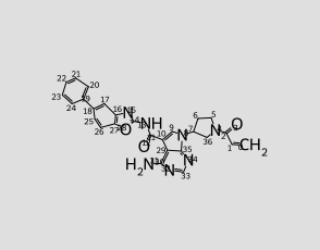 C=CC(=O)N1CCC(n2cc(C(=O)Nc3nc4cc(-c5ccccc5)ccc4o3)c3c(N)ncnc32)C1